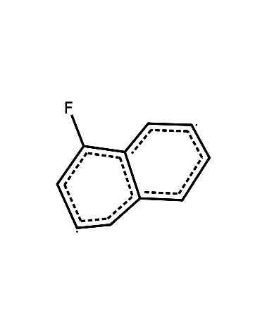 Fc1c[c]cc2cc[c]cc12